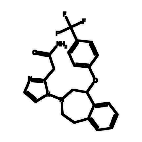 NC(=O)Cc1nccn1N1CCc2ccccc2C(Oc2ccc(C(F)(F)F)cc2)C1